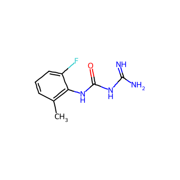 Cc1cccc(F)c1NC(=O)NC(=N)N